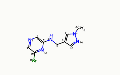 Cn1cc(CNc2cncc(Br)n2)cn1